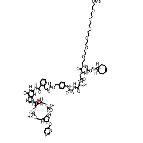 COCCOCCOCCOCCOCCOCCOCCNC(=O)[C@H](CC(=O)N[C@H](C(=O)N[C@@H](C)C(=O)Nc1ccc(COC(=O)N(C)Cc2ccccc2C(=O)Nc2nc3c(ncn3[C@@H]3O[C@@H]4CO[P@@](=O)(S)O[C@H]5C[C@H](Oc6ccncn6)C[C@@H]5CCO[P@@](=O)(S)O[C@@H]3[C@@H]4O)c(=O)[nH]2)cc1)C(C)C)NC(=O)OC[C@@H]1[C@@H]2CCC#CCC[C@@H]21